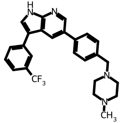 CN1CCN(Cc2ccc(-c3cnc4[nH]cc(-c5cccc(C(F)(F)F)c5)c4c3)cc2)CC1